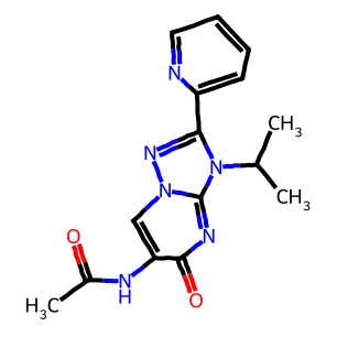 CC(=O)Nc1cn2nc(-c3ccccn3)n(C(C)C)c2nc1=O